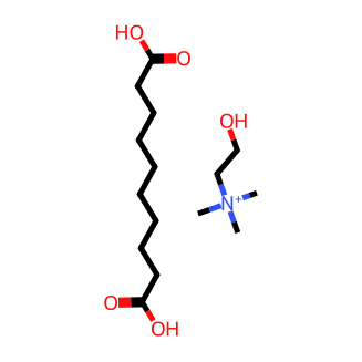 C[N+](C)(C)CCO.O=C(O)CCCCCCCCC(=O)O